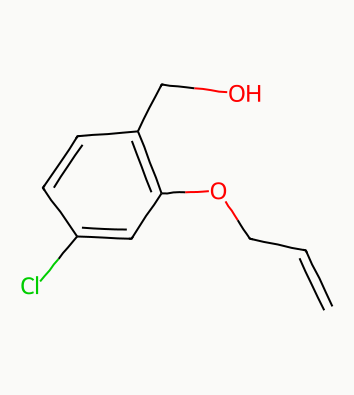 C=CCOc1cc(Cl)ccc1CO